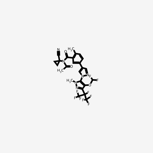 CC(=O)N(C(=O)c1cc(-c2cnn(-c3c(OC(F)F)c(C(F)(C(F)(F)F)C(F)(F)F)nn3C)c2)ccc1C)C1(C#N)CC1